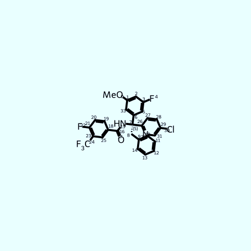 COc1cc(F)cc([C@](Cc2ccccc2)(NC(=O)c2ccc(F)c(C(F)(F)F)c2)c2ccc(Cl)cn2)c1